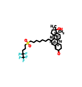 CC1(O)CC[C@H]2[C@@H]3C(CCCCCCCS(=O)(=O)CCCC(F)(F)C(F)(F)F)CC4=CC(=O)CC[C@]4(C)[C@@H]3CC[C@@]21C